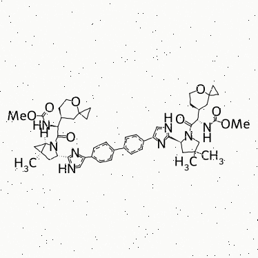 COC(=O)N[C@H](C(=O)N1CC(C)(C)C[C@H]1c1nc(-c2ccc(-c3ccc(-c4c[nH]c([C@@H]5C[C@@]6(C)C[C@H]6N5C(=O)[C@@H](NC(=O)OC)[C@H]5CCOC6(CC6)C5)n4)cc3)cc2)c[nH]1)[C@H]1CCOC2(CC2)C1